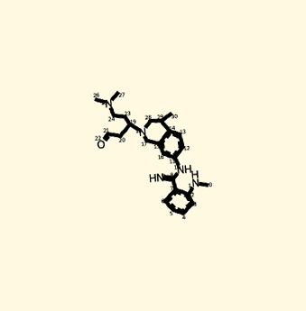 CNc1ccccc1C(=N)Nc1ccc2c(c1)CN(C(CC=O)CCN(C)C)CC2C